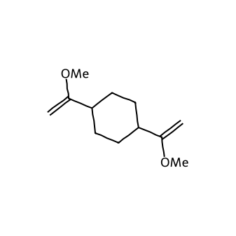 C=C(OC)C1CCC(C(=C)OC)CC1